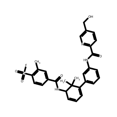 Cc1cc(C(=O)NC2C=CC=C(c3cccc(NC(=O)c4ccc(CO)cn4)c3)C2(C)C)ccc1S(=O)(=O)F